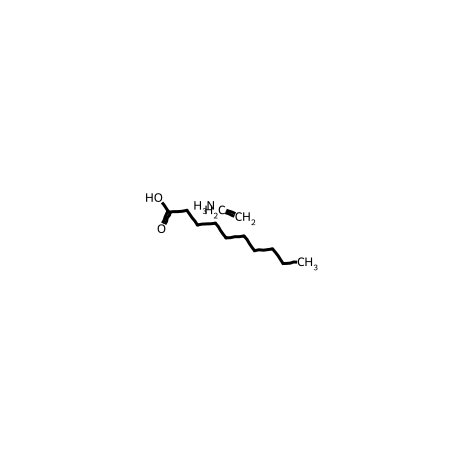 C=C.CCCCCCCCCC(=O)O.N